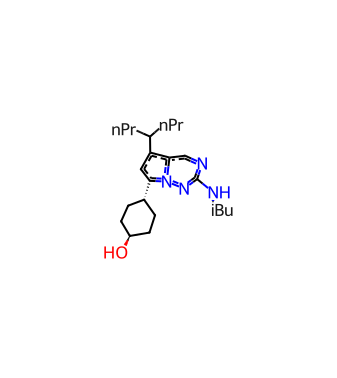 CCCC(CCC)c1cc([C@H]2CC[C@H](O)CC2)n2nc(N[C@@H](C)CC)ncc12